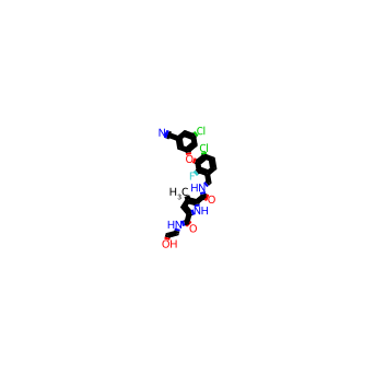 Cc1cc(C(=O)NCCO)[nH]c1C(=O)NCc1ccc(Cl)c(Oc2cc(Cl)cc(C#N)c2)c1F